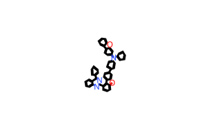 c1ccc(-c2nc(-c3cccc4oc5cc(-c6ccc(N(c7ccccc7)c7ccc8c(c7)oc7ccccc78)cc6)ccc5c34)nc3ccccc23)cc1